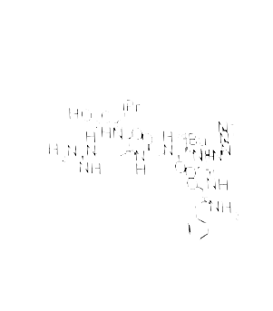 CC[C@H](C)[C@H](NC(=O)[C@H](CNN=[N+]=[N-])NC(=O)[C@@H](N)Cc1ccccc1)C(=O)NCC(=O)N[C@@H](CCCNC(=N)N)C(=O)N[C@@H](CC(C)C)C(=O)O